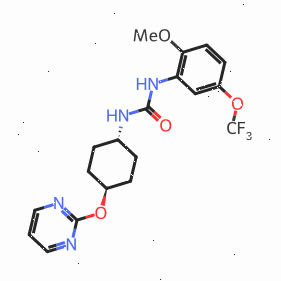 COc1ccc(OC(F)(F)F)cc1NC(=O)N[C@H]1CC[C@H](Oc2ncccn2)CC1